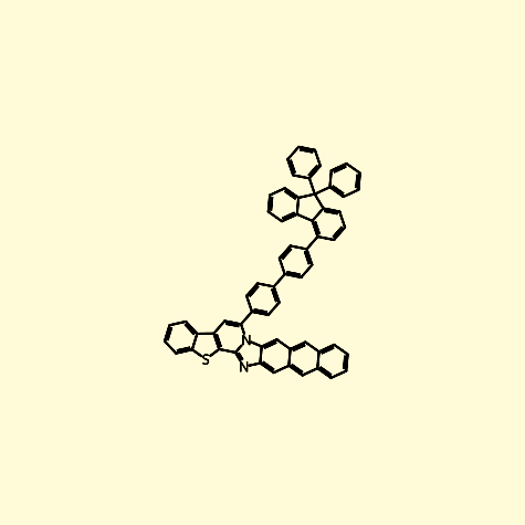 c1ccc(C2(c3ccccc3)c3ccccc3-c3c(-c4ccc(-c5ccc(-c6cc7c8ccccc8sc7c7nc8cc9cc%10ccccc%10cc9cc8n67)cc5)cc4)cccc32)cc1